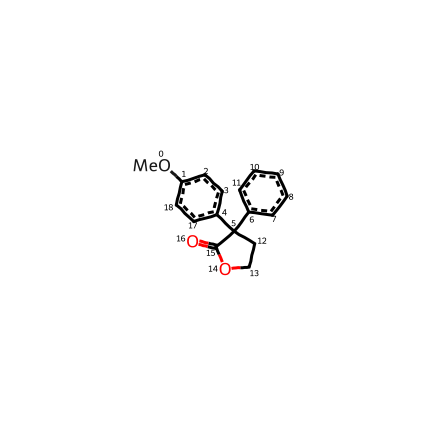 COc1ccc(C2(c3ccccc3)CCOC2=O)cc1